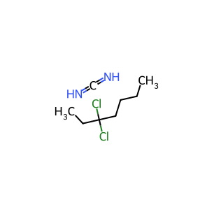 CCCCC(Cl)(Cl)CC.N=C=N